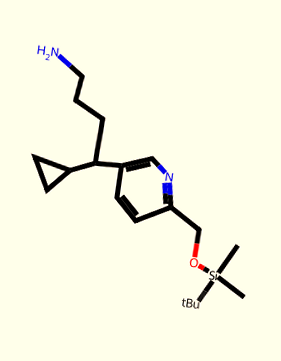 CC(C)(C)[Si](C)(C)OCc1ccc(C(CCCN)C2CC2)cn1